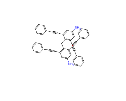 Nc1cc(C#Cc2ccccc2)c(Cc2c(C#Cc3ccccc3)cc(N)cc2C#Cc2ccccc2)c(C#Cc2ccccc2)c1